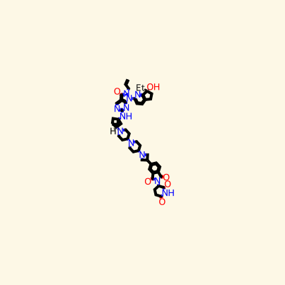 C=CCn1c(=O)c2cnc(NC34CC(C3)[C@H](N3CCC(N5CCC(N6CC(c7ccc8c(c7)C(=O)N(C7CCC(=O)NC7=O)C8=O)C6)CC5)CC3)C4)nc2n1-c1ccc2c(n1)[C@@](O)(CC)CC2